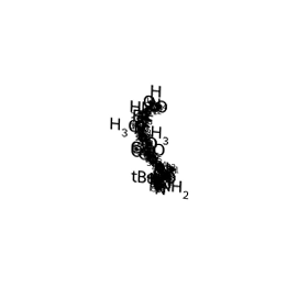 C[C@@H]1CN(c2c(F)cc(NC3CCC(=O)NC3=O)cc2F)C[C@H](C)N1CC1CCN(C(=O)COC(=O)N2CCC(c3cnc(-c4c(-c5nn(C(C)(C)C)c6ncnc(N)c56)noc4C4CC4)nc3)CC2)CC1.O=CO